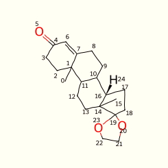 CC12CCC(=O)C=C1CCC1C2CCC2(C)[C@H]1CCC21OCCO1